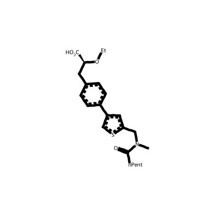 CCCCCC(=O)N(C)Cc1cc(-c2ccc(C[C@H](OCC)C(=O)O)cc2)cs1